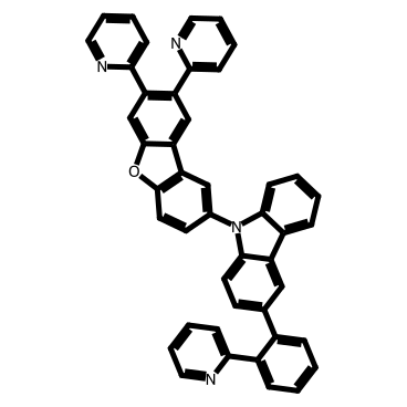 c1ccc(-c2ccccc2-c2ccc3c(c2)c2ccccc2n3-c2ccc3oc4cc(-c5ccccn5)c(-c5ccccn5)cc4c3c2)nc1